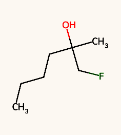 CCCCC(C)(O)CF